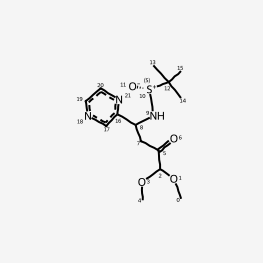 COC(OC)C(=O)CC(N[S@+]([O-])C(C)(C)C)c1cnccn1